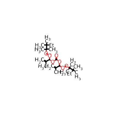 C=C(C)C(OOC(C)(C)C(C)(C)CC)OC(=O)OC(OOC(C)(C)C(C)(C)CC)C(=C)C